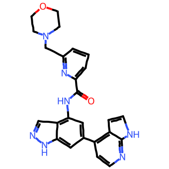 O=C(Nc1cc(-c2ccnc3[nH]ccc23)cc2[nH]ncc12)c1cccc(CN2CCOCC2)n1